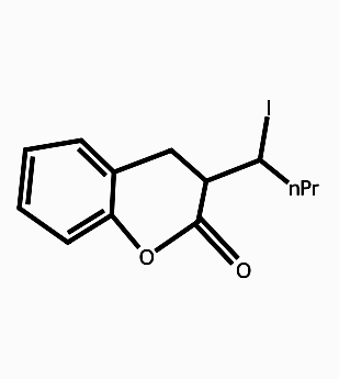 CCCC(I)C1Cc2ccccc2OC1=O